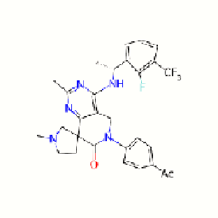 CC(=O)c1ccc(N2Cc3c(N[C@H](C)c4cccc(C(F)(F)F)c4F)nc(C)nc3C3(CCN(C)C3)C2=O)cc1